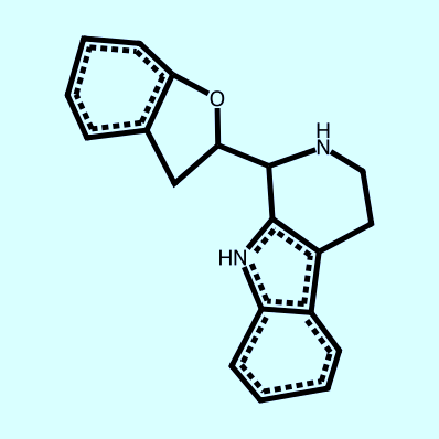 c1ccc2c(c1)CC(C1NCCc3c1[nH]c1ccccc31)O2